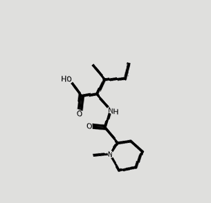 CCC(C)C(NC(=O)C1CCCCN1C)C(=O)O